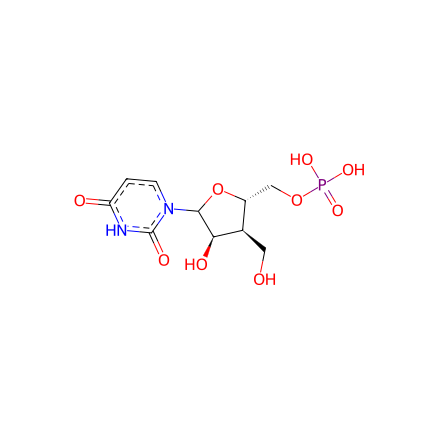 O=c1ccn(C2O[C@H](COP(=O)(O)O)[C@@H](CO)[C@H]2O)c(=O)[nH]1